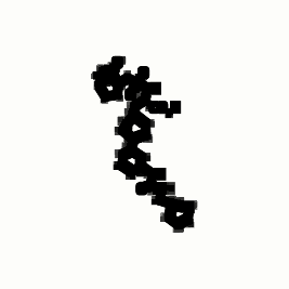 CC1(C)C2CCC1(CS(=O)(=O)N[C@@H](Cc1ccc(-c3cccc(NC(=O)NCc4cccnc4)c3)cc1)C(=O)O)C(=O)C2